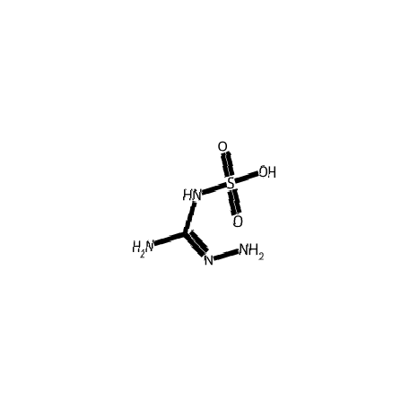 NN=C(N)NS(=O)(=O)O